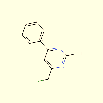 Cc1nc(CCl)cc(-c2ccccc2)n1